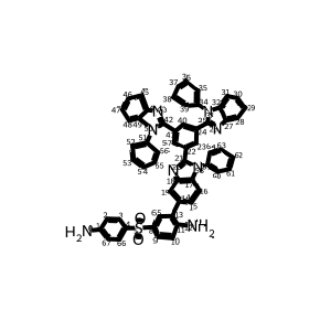 Nc1ccc(S(=O)(=O)c2ccc(N)c(-c3ccc4c(c3)nc(-c3cc(-c5nc6ccccc6n5-c5ccccc5)cc(-c5nc6ccccc6n5-c5ccccc5)c3)n4-c3ccccc3)c2)cc1